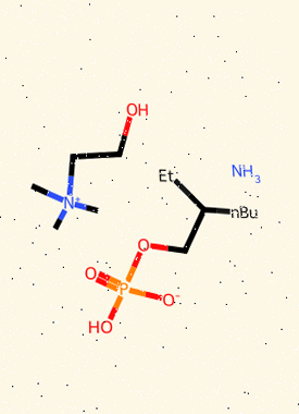 CCCCC(CC)COP(=O)([O-])O.C[N+](C)(C)CCO.N